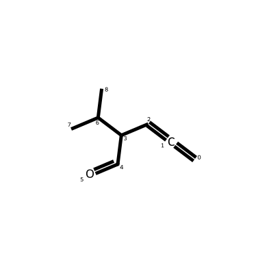 C=C=CC(C=O)C(C)C